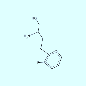 NC(CO)CSc1ccccc1F